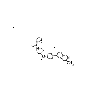 Cc1cc2cc(-c3ccc(OC4CCN(C(=O)[C@H]5CCCO5)CC4)cc3)ccc2cn1